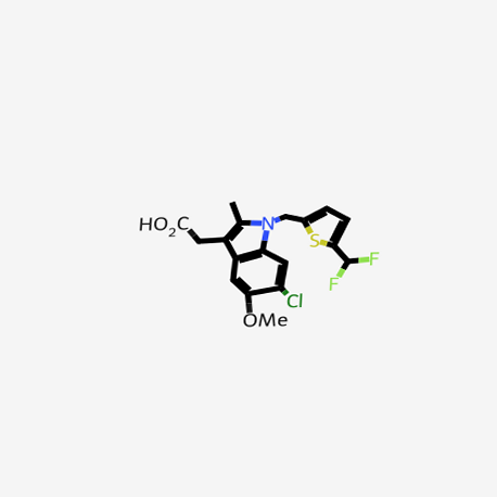 COc1cc2c(CC(=O)O)c(C)n(Cc3ccc(C(F)F)s3)c2cc1Cl